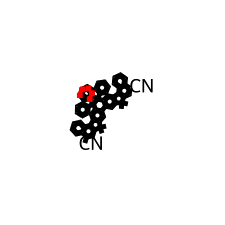 CC1(C)c2cc3c(cc2-c2c1cc(C#N)c1ccccc21)C(c1ccccc1)(c1ccccc1)C(c1ccccc1)(c1ccccc1)c1cc2c(cc1-3)C(C)(C)c1cc(C#N)c3ccccc3c1-2